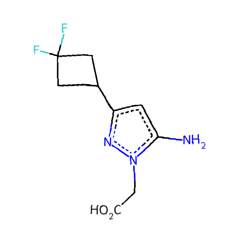 Nc1cc(C2CC(F)(F)C2)nn1CC(=O)O